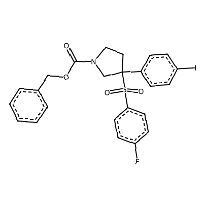 O=C(OCc1ccccc1)N1CCC(c2ccc(I)cc2)(S(=O)(=O)c2ccc(F)cc2)C1